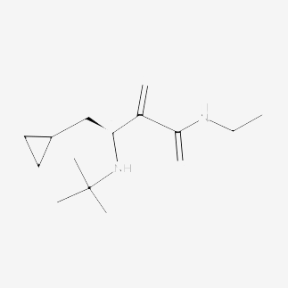 CCNC(=O)C(=O)[C@H](CC1CC1)NC(C)(C)C